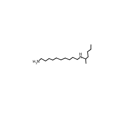 CCCCC(C)NCCCCCCCCCCN